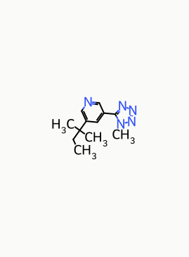 CCC(C)(C)c1cncc(-c2nnnn2C)c1